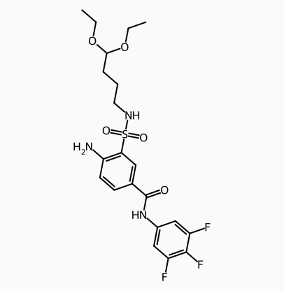 CCOC(CCCNS(=O)(=O)c1cc(C(=O)Nc2cc(F)c(F)c(F)c2)ccc1N)OCC